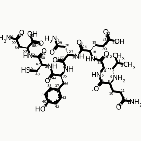 CC(C)C[C@H](NC(=O)[C@@H](N)CCC(N)=O)C(=O)N[C@@H](CCC(=O)O)C(=O)N[C@@H](CC(N)=O)C(=O)N[C@@H](Cc1ccc(O)cc1)C(=O)N[C@@H](CS)C(=O)N[C@@H](CC(N)=O)C(=O)O